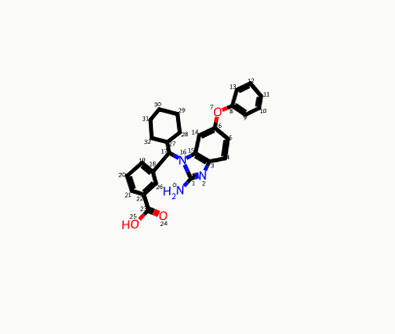 Nc1nc2ccc(Oc3ccccc3)cc2n1C(c1cccc(C(=O)O)c1)C1CCCCC1